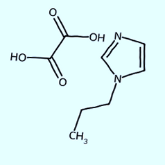 CCCn1ccnc1.O=C(O)C(=O)O